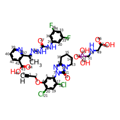 C#CCOc1cc(-n2nc3n(c2=O)CCCC3)c(Cl)cc1Cl.C/C(=N\NC(=O)Nc1cc(F)cc(F)c1)c1ncccc1C(=O)O.O=C(O)CNCP(=O)(O)O